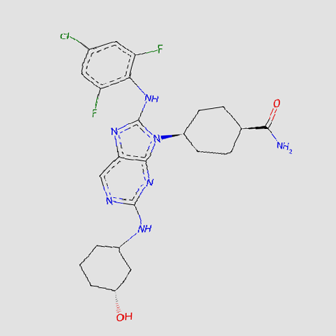 NC(=O)[C@H]1CC[C@@H](n2c(Nc3c(F)cc(Cl)cc3F)nc3cnc(NC4CCC[C@@H](O)C4)nc32)CC1